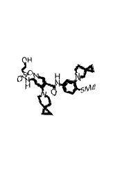 CSc1ccc(NC(=O)c2cnc(NS(=O)(=O)CCO)cc2N2CCC3(CC2)CC3)cc1N1CCC2(CC2)C1